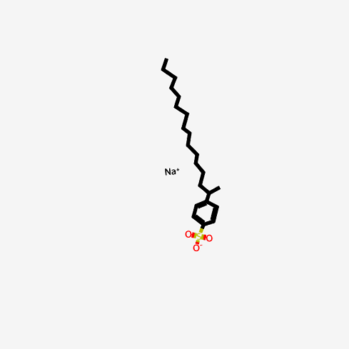 CCCCCCCCCCCCCCC(C)c1ccc(S(=O)(=O)[O-])cc1.[Na+]